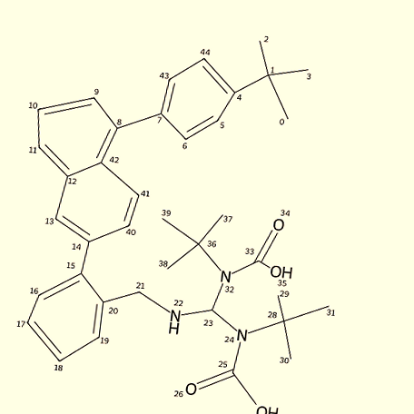 CC(C)(C)c1ccc(-c2cccc3cc(-c4ccccc4CNC(N(C(=O)O)C(C)(C)C)N(C(=O)O)C(C)(C)C)ccc23)cc1